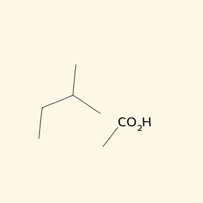 CC(=O)O.CCC(C)C